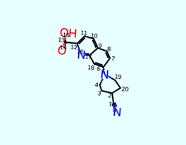 N#CC1CCN(c2ccc3ccc(C(=O)O)nc3c2)CC1